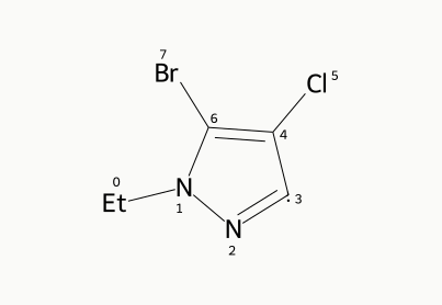 CCn1n[c]c(Cl)c1Br